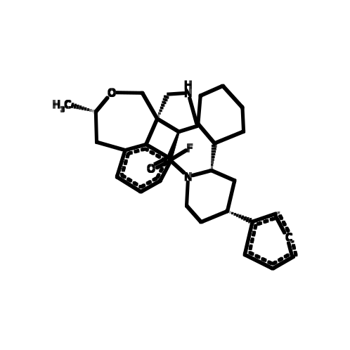 C[C@H]1Cc2cccc(F)c2[C@@]2(CNC[C@H]2C(=O)N2CC[C@@H](c3ccccc3)C[C@H]2C2CCCCC2)CO1